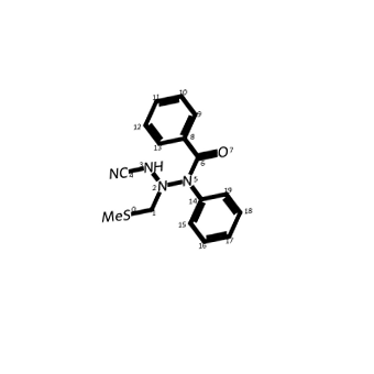 CSCN(NC#N)N(C(=O)c1ccccc1)c1ccccc1